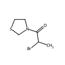 CC(Br)C(=O)N1CCSC1